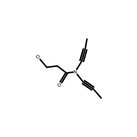 CC#CN(C#CC)C(=O)CC[O]